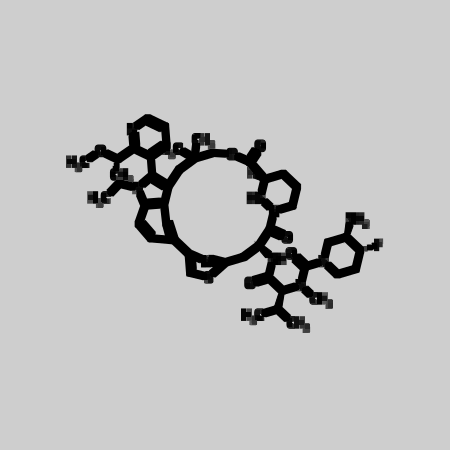 CCn1c(-c2cccnc2[C@H](C)OC)c2c3cc(ccc31)-c1csc(n1)C[C@H](NC(=O)[C@H](C(C)C)N(C)C(=O)N1CC[C@@H](F)[C@H](N)C1)C(=O)N1CCC[C@H](N1)C(=O)OCC(C)(C)C2